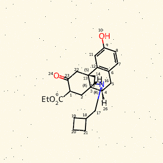 CCOC(=O)C1C[C@H]2[C@H]3Cc4ccc(O)cc4[C@@]2(CCN3CC2CCC2)CC1=O